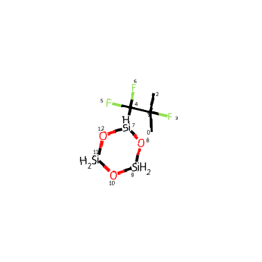 CC(C)(F)C(F)(F)[SiH]1O[SiH2]O[SiH2]O1